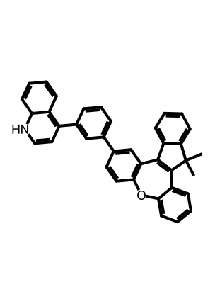 CC1(C)C2=C(c3cc(-c4cccc(C5=C6C=CC=CC6NC=C5)c4)ccc3Oc3ccccc32)c2ccccc21